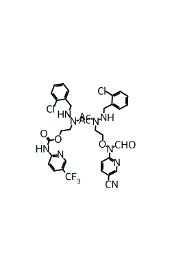 CC(=O)N(CCOC(=O)Nc1ccc(C(F)(F)F)cn1)NCc1ccccc1Cl.CC(=O)N(CCON(C=O)c1ccc(C#N)cn1)NCc1ccccc1Cl